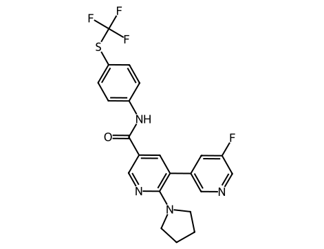 O=C(Nc1ccc(SC(F)(F)F)cc1)c1cnc(N2CCCC2)c(-c2cncc(F)c2)c1